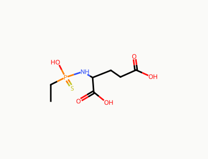 CCP(O)(=S)NC(CCC(=O)O)C(=O)O